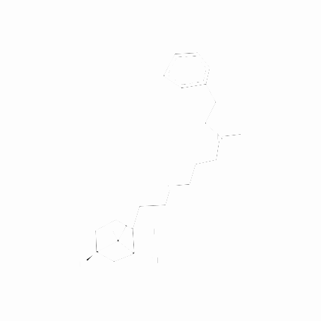 CN(CCCOCC[C@@H]1CC[C@H]2C[C@H]1C2(C)C)CCc1ccccc1